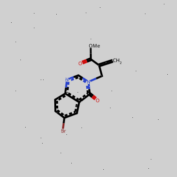 C=C(Cn1cnc2ccc(Br)cc2c1=O)C(=O)OC